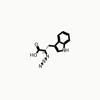 [N-]=[N+]=N[C@@H](Cc1c[nH]c2ccccc12)C(=O)O